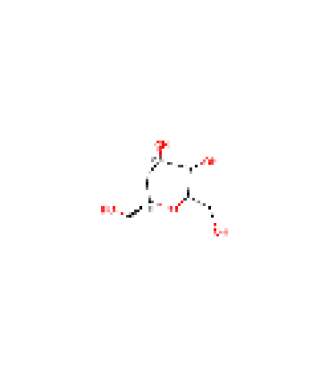 OCC1O[C@@H](CO)C[C@@H](O)C1O